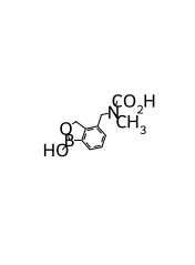 CN(Cc1cccc2c1COB2O)C(=O)O